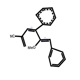 C=C(C#N)/C=C(\C(=C\C1=CC=C=C=C1)OC)c1ccccc1